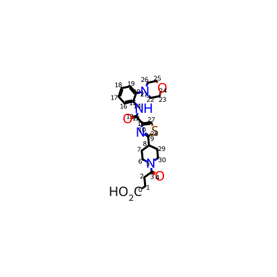 O=C(O)CCC(=O)N1CCC(c2nc(C(=O)Nc3ccccc3N3CCOCC3)cs2)CC1